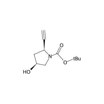 C#C[C@@H]1C[C@H](O)CN1C(=O)OC(C)(C)C